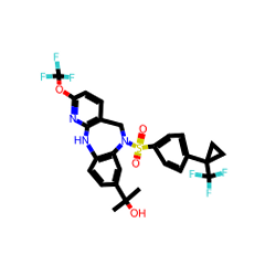 CC(C)(O)c1ccc2c(c1)N(S(=O)(=O)c1ccc(C3(C(F)(F)F)CC3)cc1)Cc1ccc(OC(F)(F)F)nc1N2